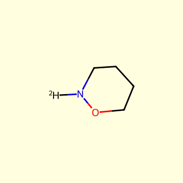 [2H]N1CCCCO1